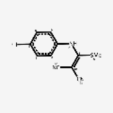 CSC(Nc1ccc(I)cc1)=C(C#N)C#N